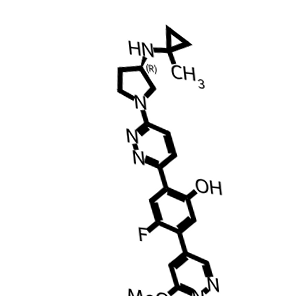 COc1cc(-c2cc(O)c(-c3ccc(N4CC[C@@H](NC5(C)CC5)C4)nn3)cc2F)cnn1